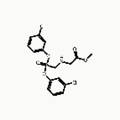 COC(=O)CNCP(=O)(Oc1cccc(Cl)c1)Oc1cccc(Cl)c1